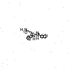 NC(=O)CCCCC[C@H](NC(=O)Cc1ncccn1)c1ncc(-c2ccc3ccncc3c2)[nH]1